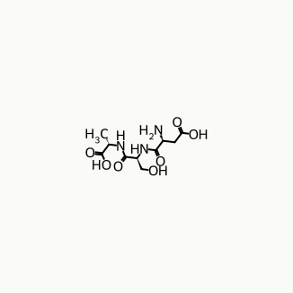 C[C@H](NC(=O)[C@H](CO)NC(=O)[C@@H](N)CC(=O)O)C(=O)O